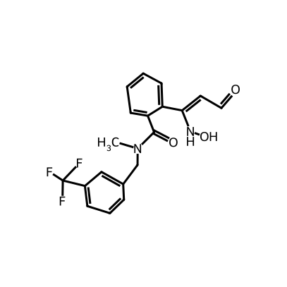 CN(Cc1cccc(C(F)(F)F)c1)C(=O)c1ccccc1C(=CC=O)NO